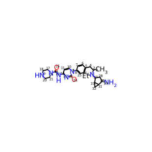 CCN(C(C)Cc1ccc(-n2ccc(NC(=O)N3CCNCC3)nc2=O)cc1)C1C[C@H](N)C2CC21